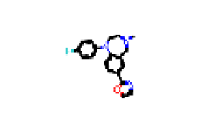 CN1CCN(c2ccc(F)cc2)c2ccc(-c3ncco3)cc2C1